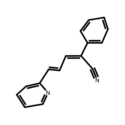 N#CC(=CC=Cc1ccccn1)c1ccccc1